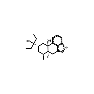 CCC(O)(CC)[C@H]1CN(C)[C@@H]2Cc3c[nH]c4cccc(c34)[C@@]2(O)C1